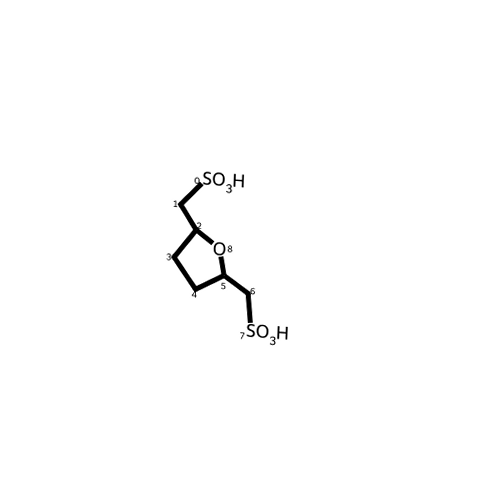 O=S(=O)(O)CC1CCC(CS(=O)(=O)O)O1